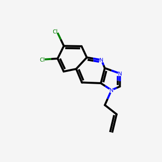 C=CCn1cnc2nc3cc(Cl)c(Cl)cc3cc21